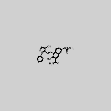 N#Cc1cnn(-c2ccccn2)c1/N=N/c1c(O)c(C(N)=O)cc2cc(NC(N)=O)ccc12